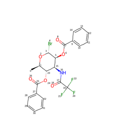 C[C@H]1O[C@H](Br)[C@@H](OC(=O)c2ccccc2)[C@@H](NC(=O)C(F)(F)F)[C@@H]1OC(=O)c1ccccc1